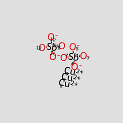 [Cu+2].[Cu+2].[Cu+2].[O]=[Sb]([O-])([O-])[O-].[O]=[Sb]([O-])([O-])[O-]